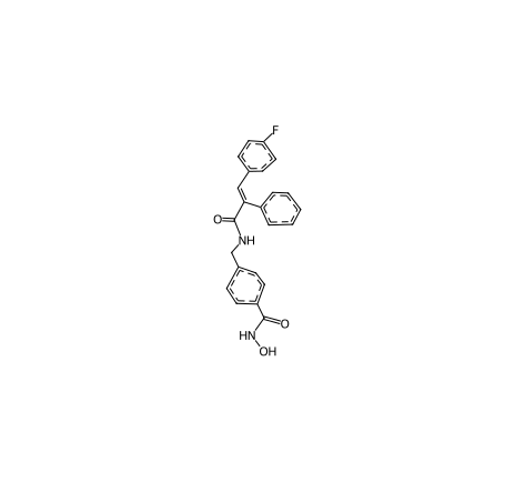 O=C(NCc1ccc(C(=O)NO)cc1)/C(=C/c1ccc(F)cc1)c1ccccc1